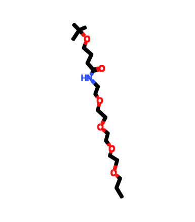 CCCOCCOCCOCCOCCNC(=O)CCCOC(C)(C)C